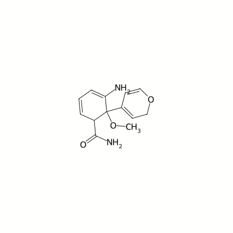 COC1(C2=CCOC=C2)C(N)=CC=CC1C(N)=O